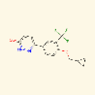 O=c1ccc(-c2ccc(OCC3CC3)c(C(F)(F)F)c2)n[nH]1